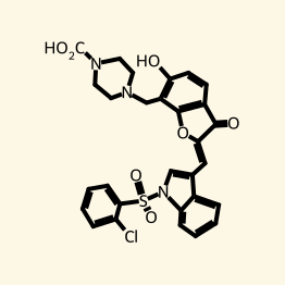 O=C1C(=Cc2cn(S(=O)(=O)c3ccccc3Cl)c3ccccc23)Oc2c1ccc(O)c2CN1CCN(C(=O)O)CC1